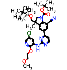 COCCOc1ncc(Cl)cc1Nc1nccc(-c2cc(C#N)c3c(c2)[C@@](C)(CO[Si](C)(C)C(C)(C)C)CN3C(=O)OC(C)(C)C)n1